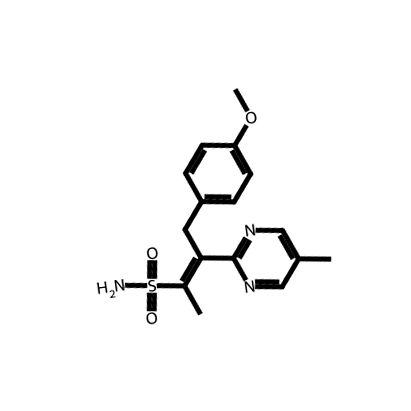 COc1ccc(CC(=C(C)S(N)(=O)=O)c2ncc(C)cn2)cc1